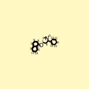 CN(C)C(CCOc1cccc2ccccc12)C1=CCCC=C1